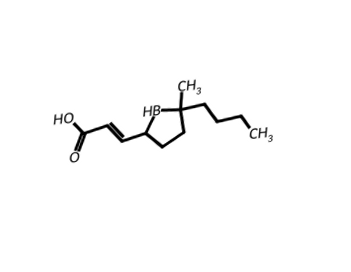 CCCCC1(C)BC(C=CC(=O)O)CC1